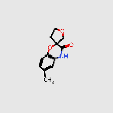 Cc1ccc2c(c1)NC(=O)C1(CCOC1)O2